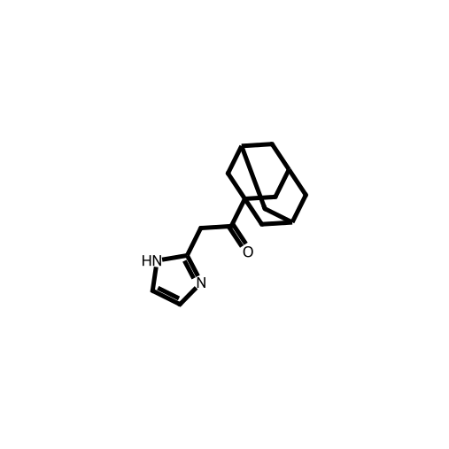 O=C(Cc1ncc[nH]1)C12CC3CC(CC(C3)C1)C2